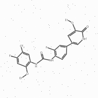 CCOc1cc(F)c(C(F)(F)F)cc1NC(=O)Nc1ccc(-c2c[nH]c(=O)c(OCC)c2)cc1F